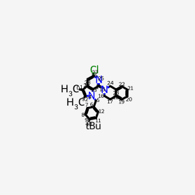 Cc1c(C)n(Cc2ccc(C(C)(C)C)cc2)c2c(N3CCc4ccccc4C3)nc(Cl)cc12